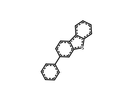 [c]1ccccc1-c1ccc2c(c1)sc1ccccc12